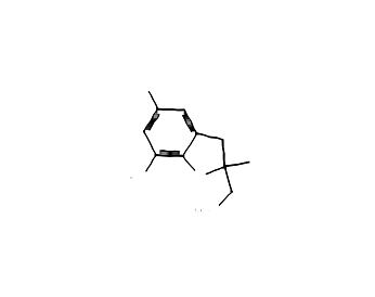 COCC1(C)Cc2cc(F)cc(C=O)c2O1